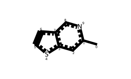 Cc1cc2sc#cc2cn1